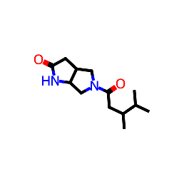 CC(C)C(C)CC(=O)N1CC2CC(=O)NC2C1